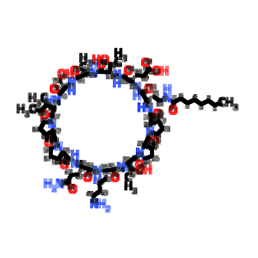 CCCCCCCC(=O)NCC[C@@H]1NC(=O)[C@@H]2CCCN2C(=O)[C@H]2CCCN2C(=O)[C@H]([C@@H](C)O)NC(=O)[C@H](CCCCN)NC(=O)[C@H](CCC(N)=O)NC(=O)[C@@H]2CCCN2C(=O)[C@@H]2CCCN2C(=O)[C@H]([C@@H](C)CC)NC(=O)[C@H](CO)NC(=O)[C@H](C)NC(=O)[C@H]([C@@H](C)O)NC(=O)[C@H](CCC(=O)O)NC1=O